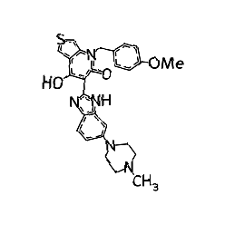 COc1ccc(Cn2c(=O)c(-c3nc4ccc(N5CCN(C)CC5)cc4[nH]3)c(O)c3cscc32)cc1